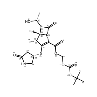 C[C@@H](O)[C@H]1C(=O)N2C(C(=O)OCOC(=O)OC(C)(C)C)=C(S[C@@H]3CNC(=O)C3)[C@H](C)[C@H]12